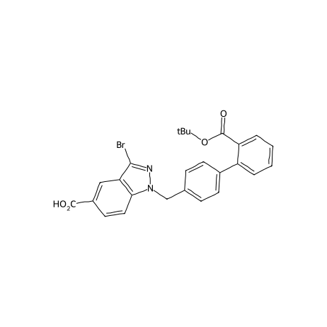 CC(C)(C)OC(=O)c1ccccc1-c1ccc(Cn2nc(Br)c3cc(C(=O)O)ccc32)cc1